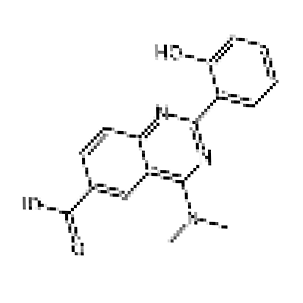 CN(C)c1nc(-c2ccccc2O)nc2ccc(C(=O)O)cc12